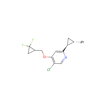 CC(C)[C@H]1C[C@@H]1c1cc(OCC2CC2(F)F)c(Cl)cn1